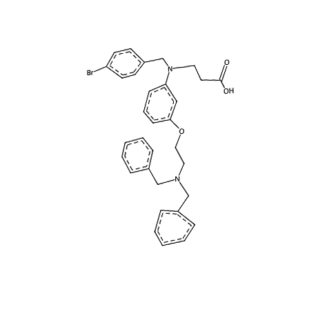 O=C(O)CCN(Cc1ccc(Br)cc1)c1cccc(OCCN(Cc2ccccc2)Cc2ccccc2)c1